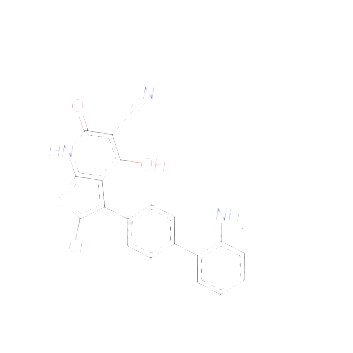 N#Cc1c(O)c2c(-c3ccc(-c4ccccc4N)cc3)c(Cl)sc2[nH]c1=O